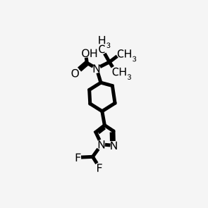 CC(C)(C)N(C(=O)O)C1CCC(c2cnn(C(F)F)c2)CC1